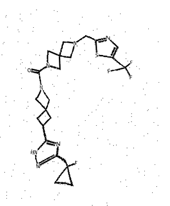 O=C(N1CC2(CC(c3nc(C4(F)CC4)n[nH]3)C2)C1)N1CC2(CN(Cc3ncc(C(F)(F)F)s3)C2)C1